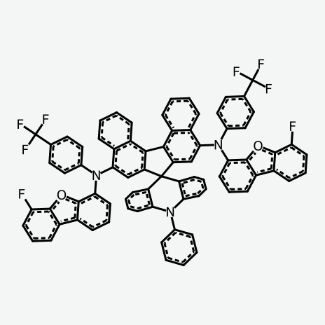 Fc1cccc2c1oc1c(N(c3ccc(C(F)(F)F)cc3)c3cc4c(c5ccccc35)-c3c(cc(N(c5ccc(C(F)(F)F)cc5)c5cccc6c5oc5c(F)cccc56)c5ccccc35)C43c4ccccc4N(c4ccccc4)c4ccccc43)cccc12